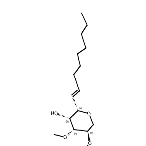 CCCCCCCC=C[C@@H]1OC[C@@H](OC)[C@H](OC)[C@@H]1O